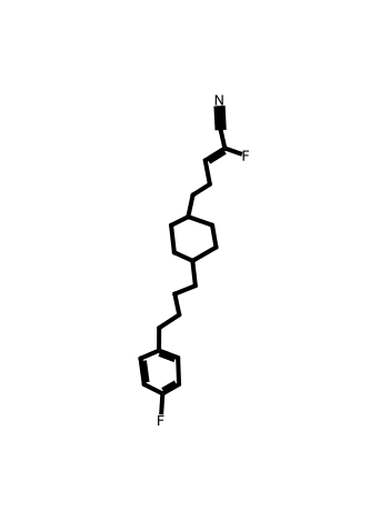 N#CC(F)=CCCC1CCC(CCCCc2ccc(F)cc2)CC1